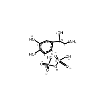 NC[C@H](O)c1ccc(O)c(O)c1.O=S(=O)(O)OS(=O)(=O)O